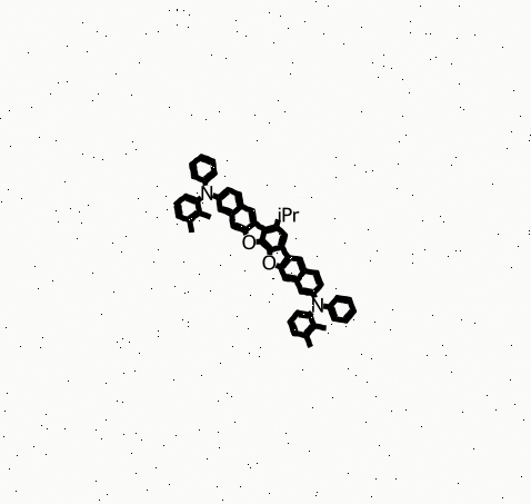 Cc1cccc(N(c2ccccc2)c2ccc3cc4c(cc3c2)oc2c4cc(C(C)C)c3c4cc5ccc(N(c6ccccc6)c6cccc(C)c6C)cc5cc4oc23)c1C